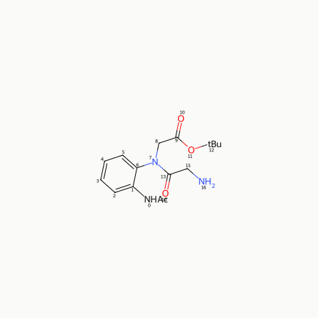 CC(=O)Nc1ccccc1N(CC(=O)OC(C)(C)C)C(=O)CN